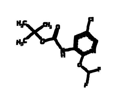 CC(C)(C)OC(=O)Nc1cc(Cl)cnc1OC(F)F